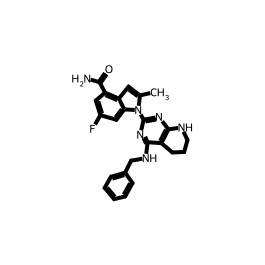 Cc1cc2c(C(N)=O)cc(F)cc2n1-c1nc2c(c(NCc3ccccc3)n1)CCCN2